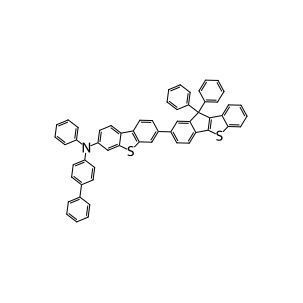 c1ccc(-c2ccc(N(c3ccccc3)c3ccc4c(c3)sc3cc(-c5ccc6c(c5)C(c5ccccc5)(c5ccccc5)c5c-6sc6ccccc56)ccc34)cc2)cc1